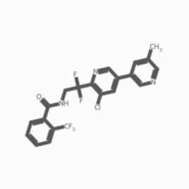 Cc1cncc(-c2cnc(C(F)(F)CNC(=O)c3ccccc3C(F)(F)F)c(Cl)c2)c1